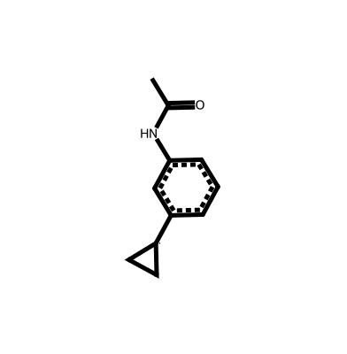 CC(=O)Nc1cccc([C]2CC2)c1